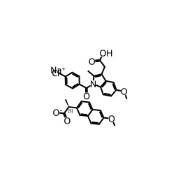 COc1ccc2c(c1)c(CC(=O)O)c(C)n2C(=O)c1ccc(Cl)cc1.COc1ccc2cc([C@H](C)C(=O)[O-])ccc2c1.[Na+]